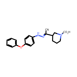 N#C/C(=N\Nc1ccc(Oc2ccccc2)cc1)C1CCCN(C(=O)O)C1